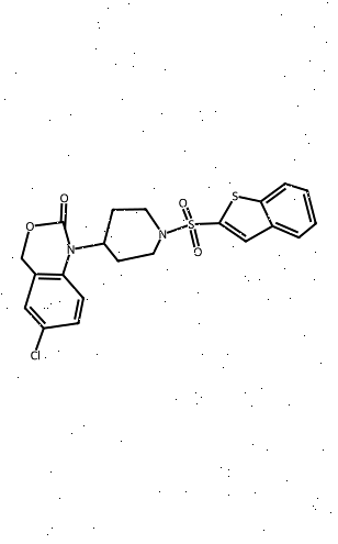 O=C1OCc2cc(Cl)ccc2N1C1CCN(S(=O)(=O)c2cc3ccccc3s2)CC1